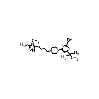 Cc1nnc(SCCCN2CCN(c3cc(C(C)(C)C)nc(C4CC4)n3)CC2)n1C